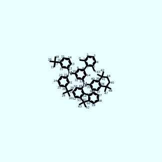 Cc1cccc(C)c1-c1cc(N(c2cccc(C(C)(C)C)c2)c2cccc(C(C)(C)C)c2)cc(N(c2ccc3c(c2)C(C)(C)CCC3(C)C)c2cccc3c2-c2ccccc2C3(C)C)c1